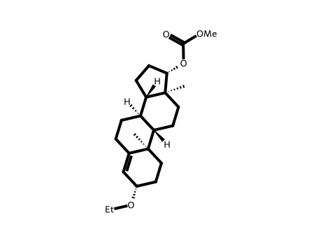 CCO[C@@H]1C=C2CC[C@H]3[C@@H]4CC[C@H](OC(=O)OC)[C@@]4(C)CC[C@@H]3[C@@]2(C)CC1